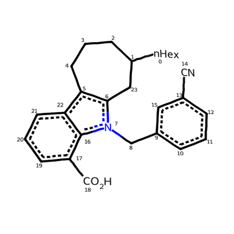 CCCCCCC1CCCc2c(n(Cc3cccc(C#N)c3)c3c(C(=O)O)cccc23)C1